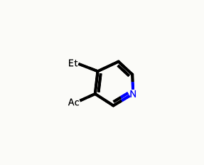 CCc1ccncc1C(C)=O